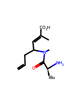 C=CCC(/C=C(\C)C(=O)O)N(C)C(=O)[C@@H](N)C(C)(C)C